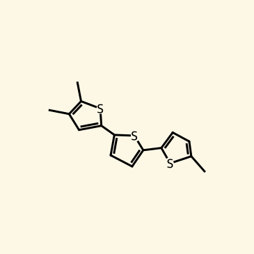 Cc1ccc(-c2ccc(-c3cc(C)c(C)s3)s2)s1